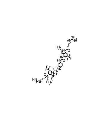 CC(=N)NCCCCC(=O)Nc1cc(C(F)(F)F)cc(NC(=O)Nc2nc3ccc(NC(=O)Nc4cc(C(F)(F)F)cc(NC(=O)CCCCNC(=N)N)c4SCCN)cc3s2)c1SCCN